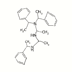 CC(NC(C)c1ccccc1)NC(C)N(C(C)c1ccccc1)C(C)c1ccccc1